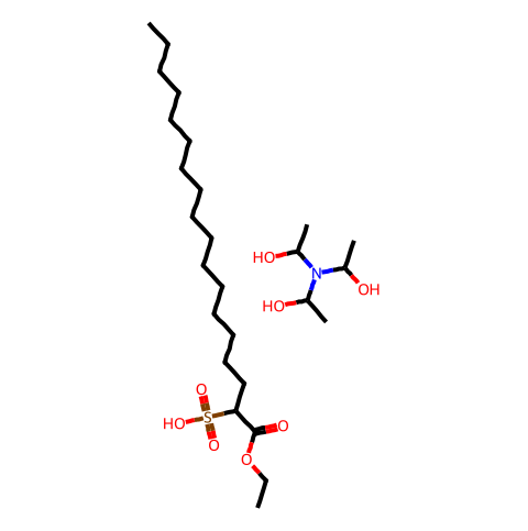 CC(O)N(C(C)O)C(C)O.CCCCCCCCCCCCCCCCC(C(=O)OCC)S(=O)(=O)O